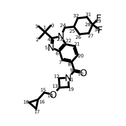 CC(C)(C)c1nc2cc(C(=O)N3CC(OCC4CC4)C3)ccc2n1CC1CCC(F)(F)CC1